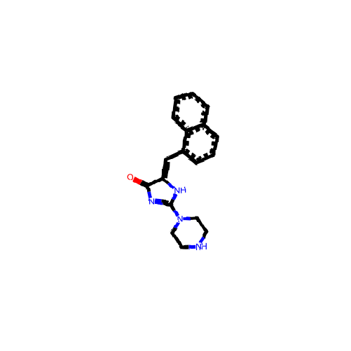 O=C1N=C(N2CCNCC2)N/C1=C\c1cccc2ccccc12